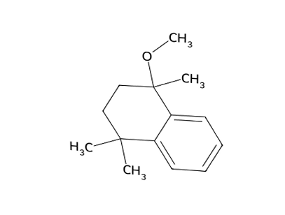 COC1(C)CCC(C)(C)c2ccccc21